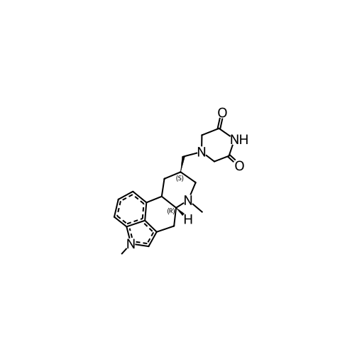 CN1C[C@H](CN2CC(=O)NC(=O)C2)CC2c3cccc4c3c(cn4C)C[C@H]21